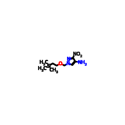 C[Si](C)(C)CCOCn1cc(N)c([N+](=O)[O-])n1